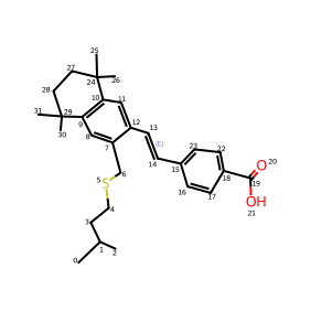 CC(C)CCSCc1cc2c(cc1/C=C/c1ccc(C(=O)O)cc1)C(C)(C)CCC2(C)C